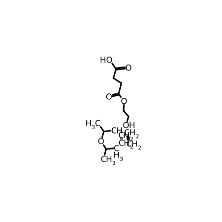 C=C.C=C.CC(C)OC(C)C.O=C(O)CCC(=O)OCCO